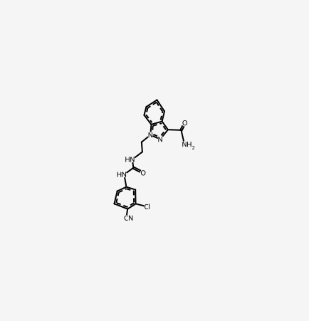 N#Cc1ccc(NC(=O)NCCn2nc(C(N)=O)c3ccccc32)cc1Cl